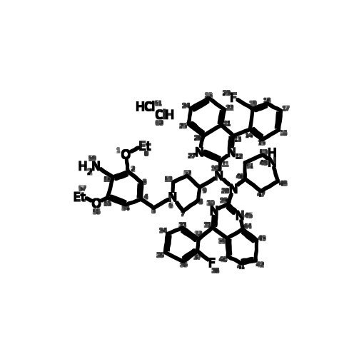 CCOc1cc(CN2CCC(N(c3nc(-c4ccccc4F)c4ccccc4n3)N(c3nc(-c4ccccc4F)c4ccccc4n3)C3CCNCC3)CC2)cc(OCC)c1N.Cl.Cl